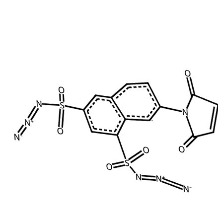 [N-]=[N+]=NS(=O)(=O)c1cc(S(=O)(=O)N=[N+]=[N-])c2[c]c(N3C(=O)C=CC3=O)ccc2c1